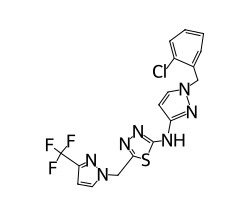 FC(F)(F)c1ccn(Cc2nnc(Nc3ccn(Cc4ccccc4Cl)n3)s2)n1